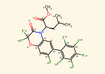 COC(=O)[C@@H](CC(C)C)N1C(=O)C(F)(F)Oc2cc(F)c(-c3c(F)c(F)c(F)c(F)c3F)cc21